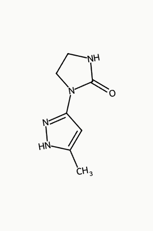 Cc1cc(N2CCNC2=O)n[nH]1